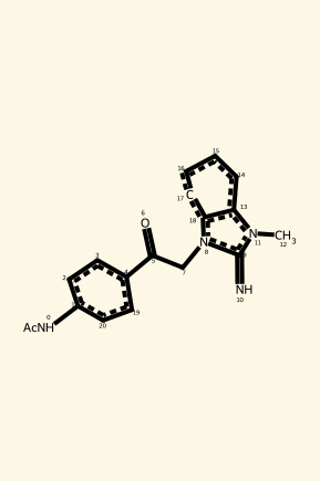 CC(=O)Nc1ccc(C(=O)Cn2c(=N)n(C)c3ccccc32)cc1